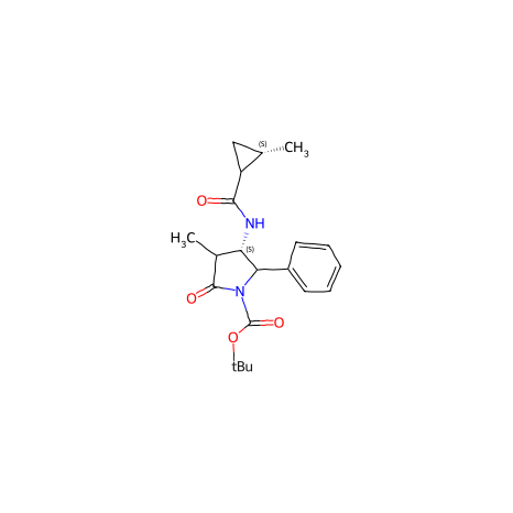 CC1C(=O)N(C(=O)OC(C)(C)C)C(c2ccccc2)[C@H]1NC(=O)C1C[C@@H]1C